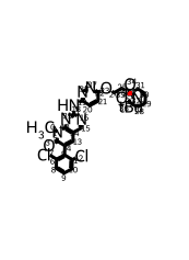 Cn1c(=O)c(-c2c(Cl)cccc2Cl)cc2cnc(Nc3ccc(OCCN4CC5CC(C4)N5C(=O)OC(C)(C)C)nn3)nc21